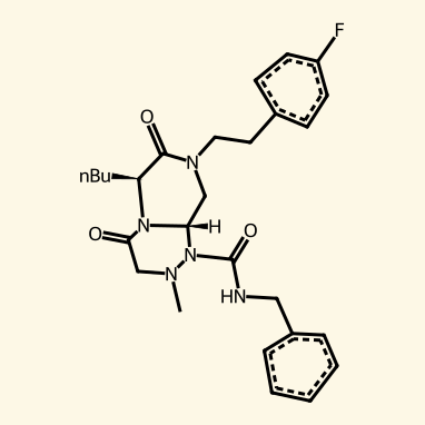 CCCC[C@H]1C(=O)N(CCc2ccc(F)cc2)C[C@H]2N1C(=O)CN(C)N2C(=O)NCc1ccccc1